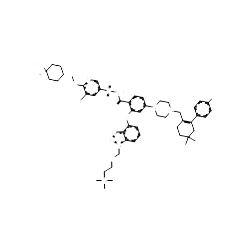 CC1(C)CCC(CN2CCN(c3ccc(C(=O)NS(=O)(=O)c4cnc(OC[C@H]5CC[C@@](C)(O)CC5)c(Cl)c4)c(Oc4cccc5c4nnn5COCC[Si](C)(C)C)c3)CC2)=C(c2ccc(Cl)cc2)C1